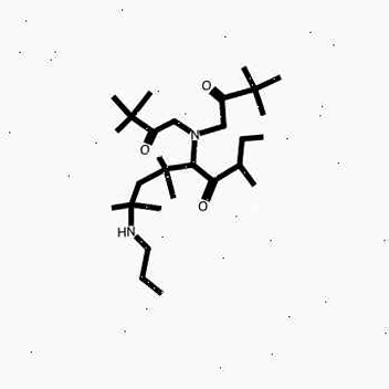 CCCNC(C)(C)CC(C)(C)C(C(=O)C(C)CC)N(CC(=O)C(C)(C)C)CC(=O)C(C)(C)C